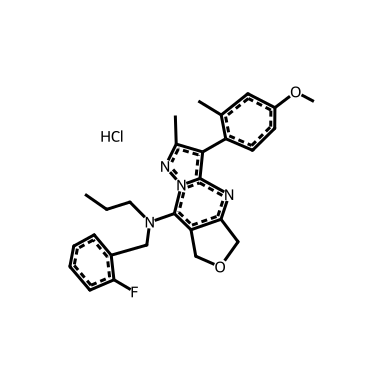 CCCN(Cc1ccccc1F)c1c2c(nc3c(-c4ccc(OC)cc4C)c(C)nn13)COC2.Cl